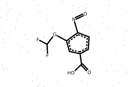 O=Nc1ccc(C(=O)O)cc1OC(F)F